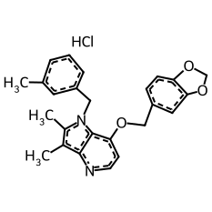 Cc1cccc(Cn2c(C)c(C)c3nccc(OCc4ccc5c(c4)OCO5)c32)c1.Cl